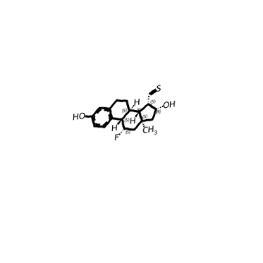 C[C@@]12C[C@@H](O)[C@@H](C=S)[C@H]1[C@@H]1CCc3cc(O)ccc3[C@H]1[C@@H](F)C2